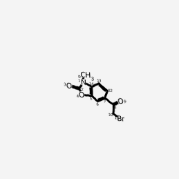 Cn1c(=O)oc2cc(C(=O)CBr)ccc21